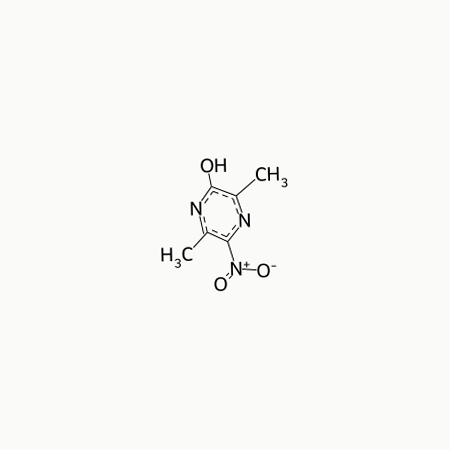 Cc1nc([N+](=O)[O-])c(C)nc1O